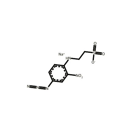 [N-]=[N+]=Nc1ccc(NCCS(=O)(=O)[O-])c([N+](=O)[O-])c1.[Na+]